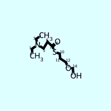 CCN(CC)CCC(=O)SCCCOCO